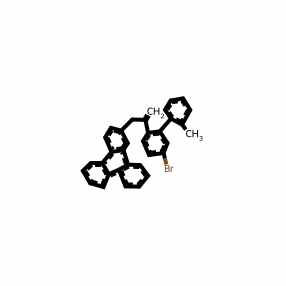 C=C(Cc1ccc2c3ccccc3c3ccccc3c2c1)c1ccc(Br)cc1-c1ccccc1C